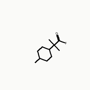 CC1CCC(C(C)(C)C(=O)F)CC1